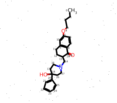 CCCCOc1ccc2c(c1)CCC(CN1CCC(O)(c3ccccc3)CC1)C2=O